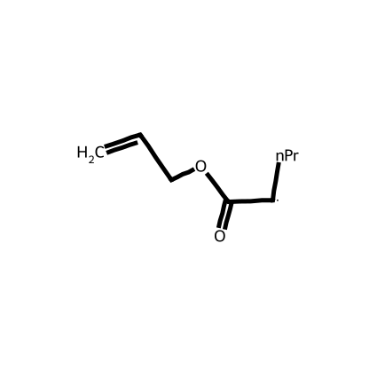 C=CCOC(=O)[CH]CCC